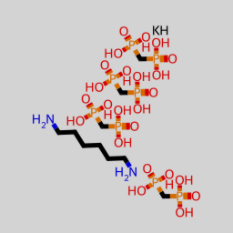 NCCCCCCN.O=P(O)(O)CP(=O)(O)O.O=P(O)(O)CP(=O)(O)O.O=P(O)(O)CP(=O)(O)O.O=P(O)(O)CP(=O)(O)O.[KH]